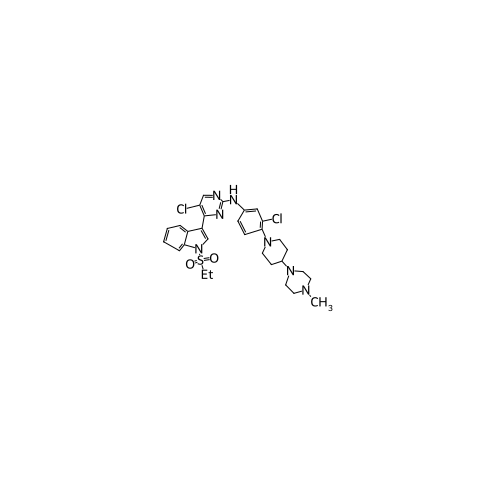 CCS(=O)(=O)n1cc(-c2nc(Nc3ccc(N4CCC(N5CCN(C)CC5)CC4)c(Cl)c3)ncc2Cl)c2ccccc21